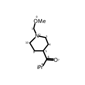 COCN1CCC(C(=O)C(C)C)CC1